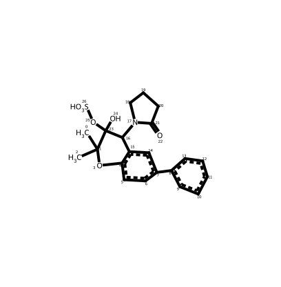 CC1(C)Oc2ccc(-c3ccccc3)cc2C(N2CCCC2=O)C1(O)OS(=O)(=O)O